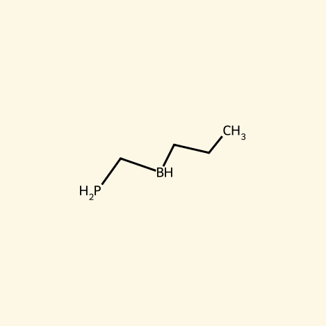 CCCBCP